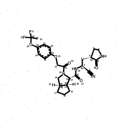 N#C[C@H](C[C@@H]1CCNC1=O)NC(=O)[C@@H]1[C@H]2CCC[C@H]2CN1C(=O)COc1ccc(OC(F)(F)F)cc1